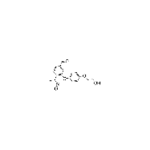 CC(N=O)c1ccc(C=O)cc1Oc1ccc(OCCO)cc1